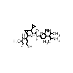 CC(=N)/C(=C(/C)N)c1ccc(NC(=O)[C@H]2NC(/C(=C/C=N)NC(C)CF)=C3CC3C2C2CC2)nc1F